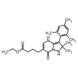 CCOC(=O)CCCC1=CNC2=C(c3c(C)cc(C)cc3C)C(C)(C)NN2C1=O